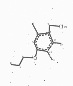 CCCOc1cc(C)c(CCl)c(C)c1C